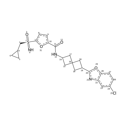 N=[S@@](=O)(CC1CC1)c1ccc(C(=O)NC2CC3(C2)CC(c2nc4cc(Cl)ccc4o2)C3)o1